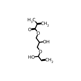 C=CC(O)OCC(O)COC(=O)C(=C)C